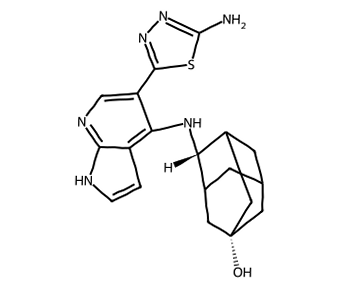 Nc1nnc(-c2cnc3[nH]ccc3c2N[C@H]2C3CC4CC2C[C@@](O)(C4)C3)s1